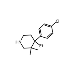 CCC1(c2ccc(Cl)cc2)CCNCC1(C)C